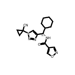 N#CC1(n2cc([C@@H](NC(=O)c3cnoc3)C3CCCCC3)nn2)CC1